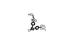 C=C(C)c1ccc(-n2nc(Cl)cc2-c2ccc(S(=O)(=O)CCCO)cc2)cc1